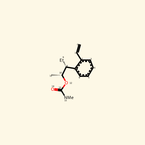 C=Cc1ccccc1[C@@H](CC)[C@@H](C)OC(=O)NC